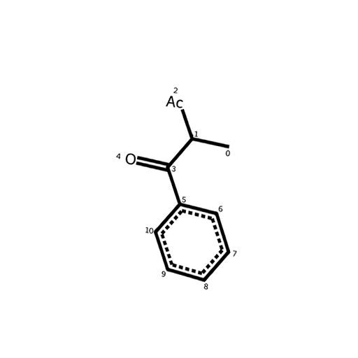 C[C](C(C)=O)C(=O)c1ccccc1